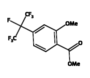 COC(=O)c1ccc(C(F)(C(F)(F)F)C(F)(F)F)cc1OC